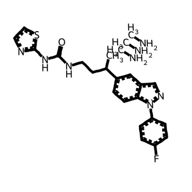 CC(CCNC(=O)Nc1nccs1)c1ccc2c(cnn2-c2ccc(F)cc2)c1.CN.CN.CN